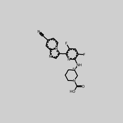 N#Cc1ccn2c(-c3nc(N[C@@H]4CCCN(C(=O)O)C4)c(F)cc3F)cnc2c1